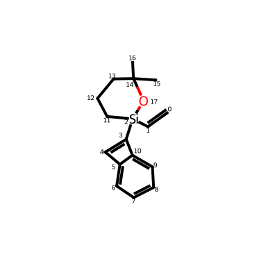 C=C[Si]1(C2=Cc3ccccc32)CCCC(C)(C)O1